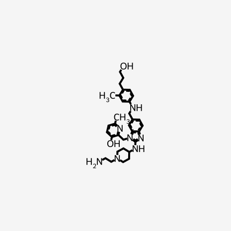 Cc1ccc(O)c(Cn2c(NC3CCN(CCN)CC3)nc3ccc(CNc4ccc(CCCO)c(C)c4)cc32)n1